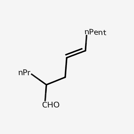 CCCCC/C=C/CC(C=O)CCC